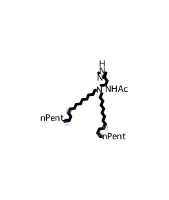 CCCCC/C=C\C/C=C\CCCCCCCCN(CCCCCCCC/C=C\C/C=C\CCCCC)CC(Cc1c[nH]cn1)NC(C)=O